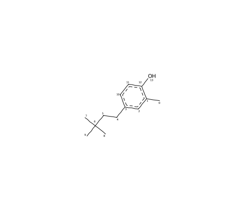 Cc1cc(CCC(C)(C)C)ccc1O